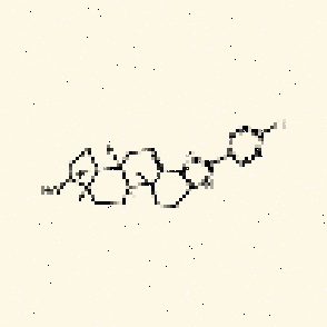 C[C@]12CC[C@H]3[C@@H](CC=C4c5sc(-c6ccc(Cl)cc6)nc5CC[C@@]43C)[C@@H]1CC[C@@H]2O